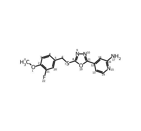 COc1ccc(CSc2nnc(-c3ccnc(N)c3)o2)cc1F